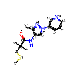 CSCC(C)(C)C(=O)Nc1cn(-c2cccnc2)nc1C